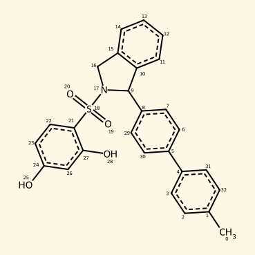 Cc1ccc(-c2ccc(C3c4ccccc4CN3S(=O)(=O)c3ccc(O)cc3O)cc2)cc1